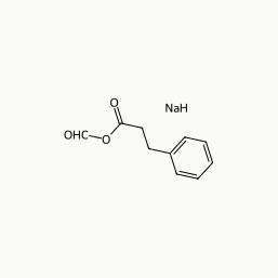 O=COC(=O)CCc1ccccc1.[NaH]